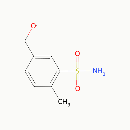 Cc1ccc(C[O])cc1S(N)(=O)=O